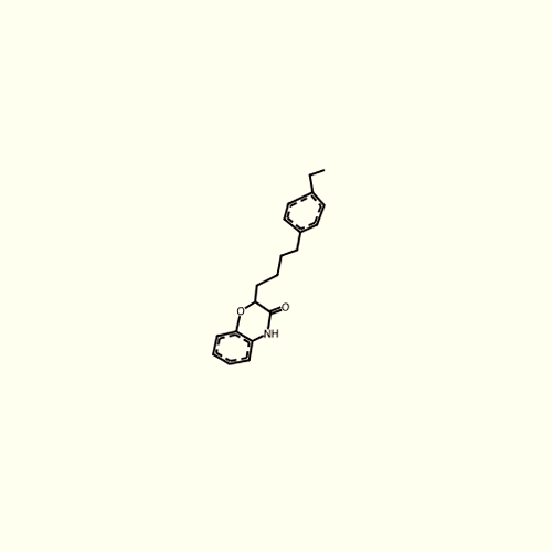 CCc1ccc(CCCCC2Oc3ccccc3NC2=O)cc1